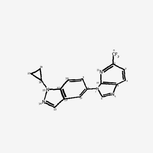 FC(F)(F)c1ccc2ncn(-c3ccc4c(cnn4C4CC4)c3)c2n1